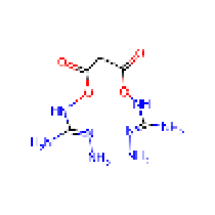 NN=C(N)NOC(=O)CC(=O)ONC(N)=NN